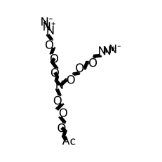 CC(=O)CCOCCOCCOCCN(CCOCCOCCOCCN=[N+]=[N-])CCOCCOCCOCCN=[N+]=[N-]